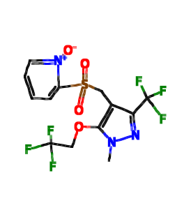 Cn1nc(C(F)(F)F)c(CS(=O)(=O)c2cccc[n+]2[O-])c1OCC(F)(F)F